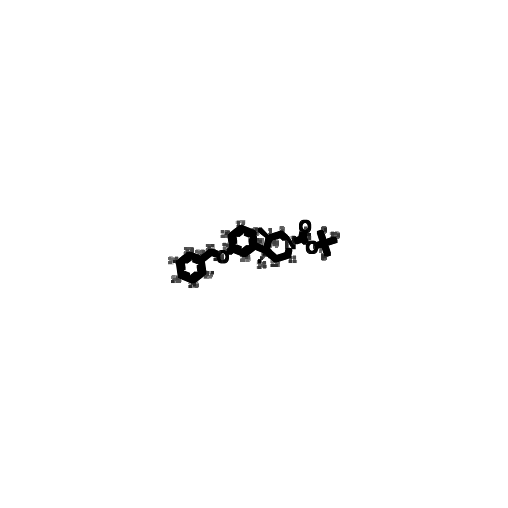 C[C@H]1CN(C(=O)OC(C)(C)C)CC[C@@]1(C)c1cccc(OCc2ccccc2)c1